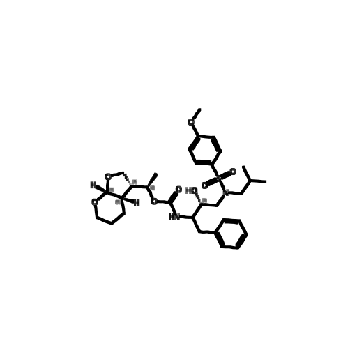 COc1ccc(S(=O)(=O)N(CC(C)C)C[C@@H](O)C(Cc2ccccc2)NC(=O)O[C@H](C)[C@H]2CO[C@H]3OCCC[C@H]32)cc1